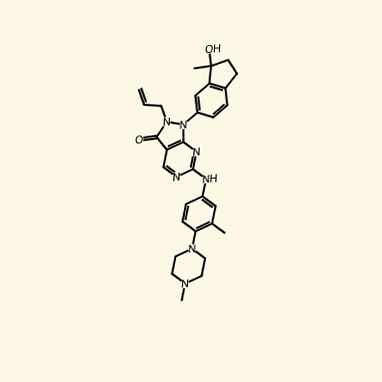 C=CCn1c(=O)c2cnc(Nc3ccc(N4CCN(C)CC4)c(C)c3)nc2n1-c1ccc2c(c1)C(C)(O)CC2